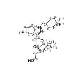 CC(C)(C)[C@H](NC(=O)c1nn(CC2CCC(F)(F)CC2)c2ccc(F)cc12)C(=O)NCCO